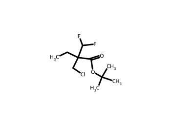 CCC(CCl)(C(=O)OC(C)(C)C)C(F)F